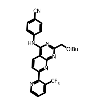 CC(C)COCc1nc(Nc2ccc(C#N)cc2)c2ccc(-c3ncccc3C(F)(F)F)nc2n1